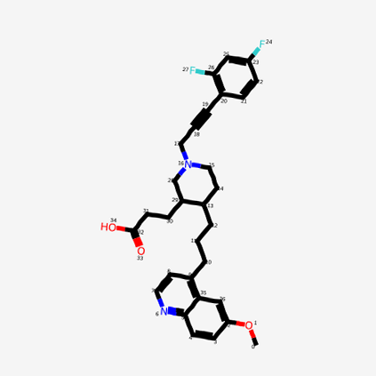 COc1ccc2nccc(CCCC3CCN(CC#Cc4ccc(F)cc4F)CC3CCC(=O)O)c2c1